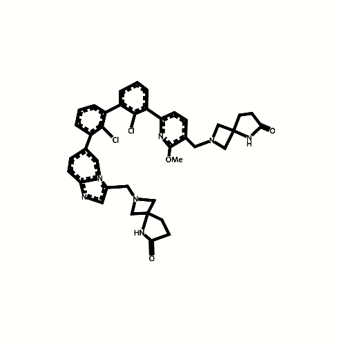 COc1nc(-c2cccc(-c3cccc(-c4ccc5ncc(CN6CC7(CCC(=O)N7)C6)n5c4)c3Cl)c2Cl)ccc1CN1CC2(CCC(=O)N2)C1